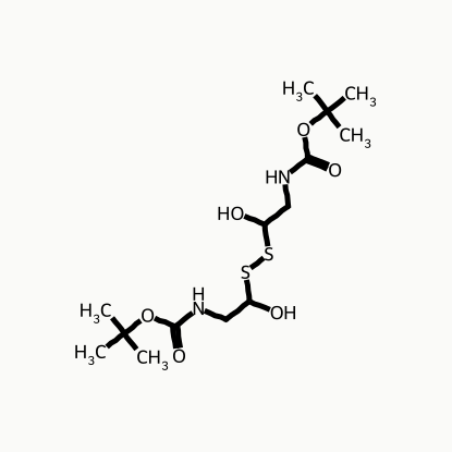 CC(C)(C)OC(=O)NCC(O)SSC(O)CNC(=O)OC(C)(C)C